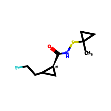 CC1(SNC(=O)[C@H]2CC2CCF)CC1